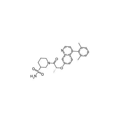 Cc1cccc(C)c1-c1ccnc2cc(O[C@H](C)C(=O)N3CCCC(S(N)(=O)=O)C3)ccc12